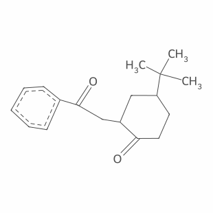 CC(C)(C)C1CCC(=O)C(CC(=O)c2ccccc2)C1